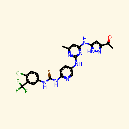 CC(=O)c1cc(Nc2cc(C)nc(Nc3ccc(NC(=S)Nc4ccc(Cl)c(C(F)(F)F)c4)nc3)n2)[nH]n1